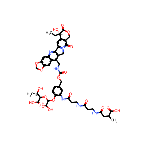 CC[C@@]1(O)C(=O)OCc2c1cc1n(c2=O)Cc2c-1nc1cc3c(cc1c2CNC(=O)OCc1ccc(OC(OC(C(=O)O)[C@H](C)O)C(O)O)c(NC(=O)CCNC(=O)CCNC(=O)CC(C)C(=O)O)c1)OCO3